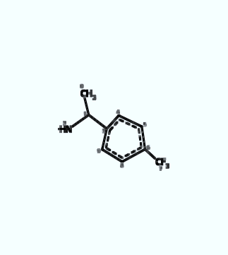 CC([NH])c1ccc(C(F)(F)F)cc1